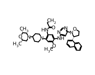 C=CC(=O)Nc1cc(Nc2cc(N3OCC[C@@H]3c3cccc4ccccc34)ncn2)c(OC)cc1N1CCC(N2C[C@@H](C)O[C@@H](C)C2)CC1